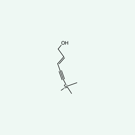 C[Si](C)(C)C#CC=CCO